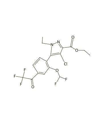 CCOC(=O)c1nn(CC)c(-c2ccc(C(=O)C(F)(F)F)cc2OC(F)F)c1Cl